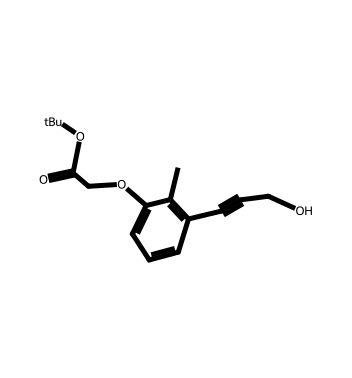 Cc1c(C#CCO)cccc1OCC(=O)OC(C)(C)C